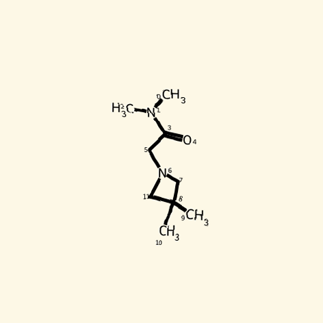 CN(C)C(=O)CN1CC(C)(C)C1